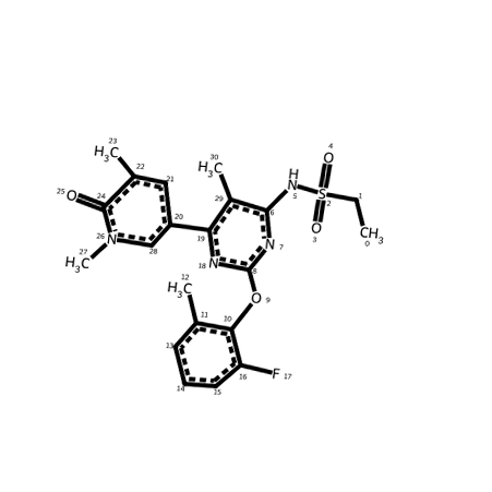 CCS(=O)(=O)Nc1nc(Oc2c(C)cccc2F)nc(-c2cc(C)c(=O)n(C)c2)c1C